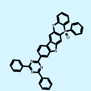 O=P1(c2ccccc2)c2ccccc2Sc2cc3c(cc21)sc1cc(-c2nc(-c4ccccc4)nc(-c4ccccc4)n2)ccc13